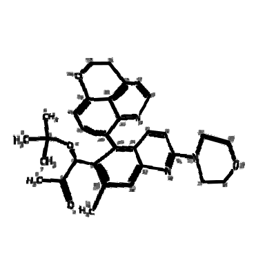 CC(=O)[C@@H](OC(C)(C)C)c1c(C)cc2nc(N3CCOCC3)ccc2c1-c1ccc2c3c(ccnc13)CCO2